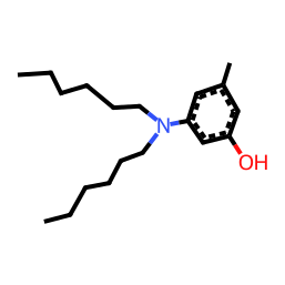 CCCCCCN(CCCCCC)c1cc(C)cc(O)c1